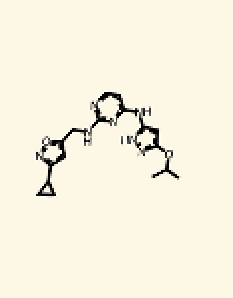 CC(C)Oc1cc(Nc2ccnc(NCc3cc(C4CC4)no3)n2)[nH]n1